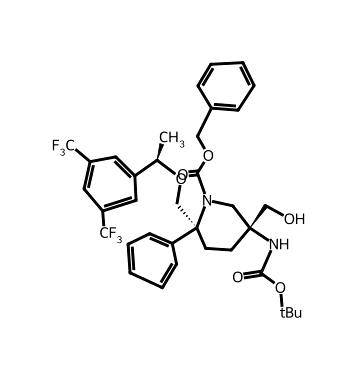 C[C@@H](OC[C@@]1(c2ccccc2)CC[C@@](CO)(NC(=O)OC(C)(C)C)CN1C(=O)OCc1ccccc1)c1cc(C(F)(F)F)cc(C(F)(F)F)c1